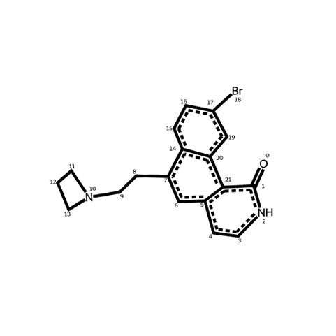 O=c1[nH]ccc2cc(CCN3CCC3)c3ccc(Br)cc3c12